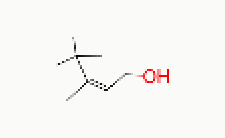 CC(=CCO)C(C)(C)C